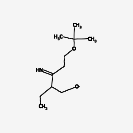 CCC(C[O])C(=N)CCOC(C)(C)C